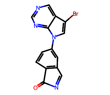 O=C1N=Cc2cc(-n3cc(Br)c4cncnc43)ccc21